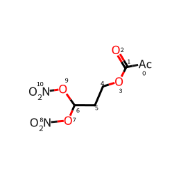 CC(=O)C(=O)OCCC(O[N+](=O)[O-])O[N+](=O)[O-]